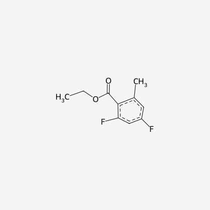 CCOC(=O)c1c(C)cc(F)cc1F